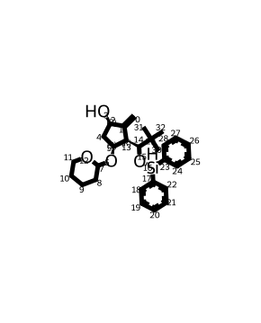 C=C1[C@H](O)C[C@H](OC2CCCCO2)[C@@H]1C(O[SiH](c1ccccc1)c1ccccc1)C(C)(C)C